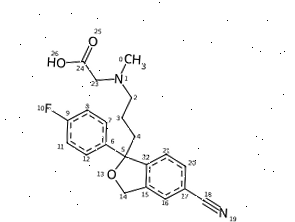 CN(CCCC1(c2ccc(F)cc2)OCc2cc(C#N)ccc21)CC(=O)O